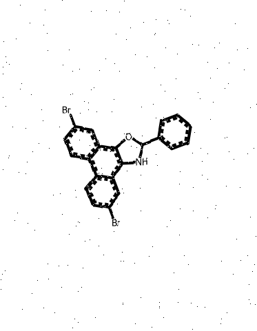 Brc1ccc2c(c1)c1c(c3cc(Br)ccc32)OC(c2ccccc2)N1